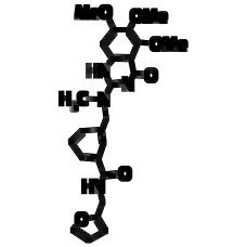 COc1cc2[nH]c(N(C)Cc3cccc(C(=O)NCc4ccco4)c3)nc(=O)c2c(OC)c1OC